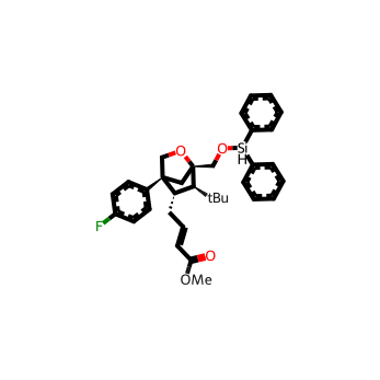 COC(=O)/C=C/C[C@H]1[C@H](C(C)(C)C)[C@]2(CO[SiH](c3ccccc3)c3ccccc3)C[C@@]1(c1ccc(F)cc1)CO2